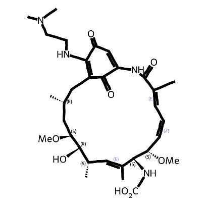 CO[C@H]1/C=C\C=C(/C)C(=O)NC2=CC(=O)C(NCCN(C)C)=C(C[C@@H](C)C[C@H](OC)[C@H](O)[C@@H](C)/C=C(\C)[C@@H]1NC(=O)O)C2=O